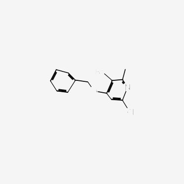 Cc1nc(Cl)cc(OCc2ccccc2)c1Br